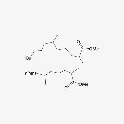 CCC(C)CCCC(C)CCCC(C)C(=O)OC.CCCCCC(C)CCCC(C)C(=O)OC